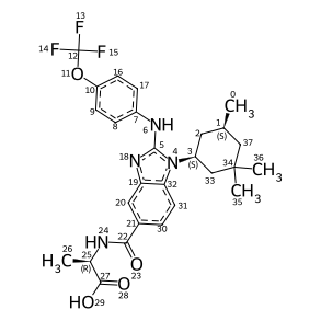 C[C@@H]1C[C@H](n2c(Nc3ccc(OC(F)(F)F)cc3)nc3cc(C(=O)N[C@H](C)C(=O)O)ccc32)CC(C)(C)C1